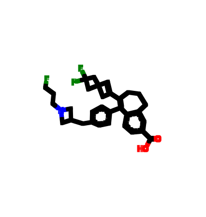 O=C(O)c1ccc2c(c1)CCCC(C1=CC3(C1)CC(F)(F)C3)=C2c1ccc(CC2CN(CCCF)C2)cc1